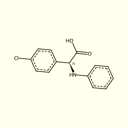 O=C(O)[C@@H](Nc1ccccc1)c1ccc(Cl)cc1